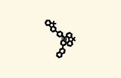 CC1(C)c2ccccc2-c2ccc(-c3ccc(N(c4ccc(-c5ccc6ccccc6c5)cc4)c4cccc5c4-c4ccccc4C5(C)C)cc3)cc21